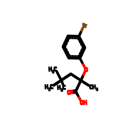 CC(C)(C)CC(C)(Oc1cccc(Br)c1)C(=O)O